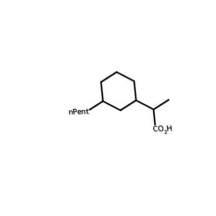 CCCCCC1CCCC(C(C)C(=O)O)C1